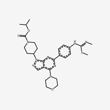 CN=C(Nc1ccc(-c2nc(N3CCOCC3)c3cnn(C4CCN(C(=O)OC(C)C)CC4)c3n2)cc1)SC